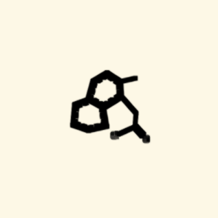 Cc1ccc2ccccc2c1CC(=O)Cl